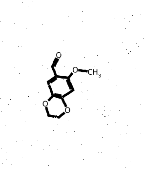 COc1cc2c(cc1C=O)OCCO2